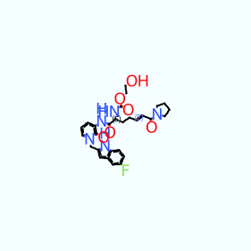 O=C(N[C@@H](CC/C=C/C(=O)N1CCCC1)C(=O)Nc1cccn(Cc2cc3cc(F)ccc3[nH]2)c1=O)OCCO